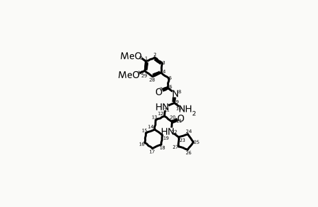 COc1ccc(CC(=O)N=C(N)NC(CC2CCCCC2)C(=O)NC2CCCC2)cc1OC